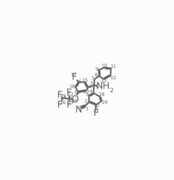 N#Cc1cc(C(N)(Cc2ccccc2)c2cc(F)cc(OC(F)(F)C(F)F)c2)ccc1F